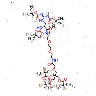 CC(C)(C)OC(=O)/N=C(\NCC(NC(=O)OC(C)(C)C)C(=O)NCCOCCOCCNC(=O)COCC(COC(=O)C(C)(C)Br)(COC(=O)C(C)(C)Br)COC(=O)C(C)(C)Br)NC(=O)OC(C)(C)C